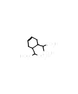 O=C(O)C(C(=O)O)C1CC=CCC1C(C(=O)O)C(=O)O